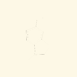 CN1CSc2cc(S(=O)(=O)O)ccc21